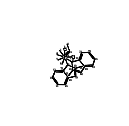 C[CH]=[Hf]([CH3])([CH3])([CH3])([CH3])([Cl])([Cl])([CH]1C(C)=Cc2ccccc21)[CH]1C(C)=Cc2ccccc21